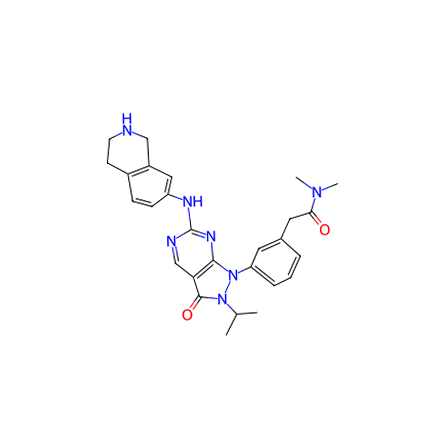 CC(C)n1c(=O)c2cnc(Nc3ccc4c(c3)CNCC4)nc2n1-c1cccc(CC(=O)N(C)C)c1